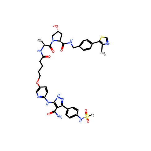 CCS(=O)(=O)Nc1ccc(-c2n[nH]c(Nc3ccc(OCCCCC(=O)N[C@H](C(=O)N4C[C@H](O)C[C@H]4C(=O)NCc4ccc(-c5scnc5C)cc4)C(C)(C)C)cn3)c2C(N)=O)cc1